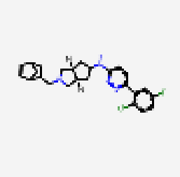 Fc1ccc(Cl)c(-c2ccc(NC3C[C@@H]4CN(CC5CC6C=CC5C6)C[C@@H]4C3)nn2)c1